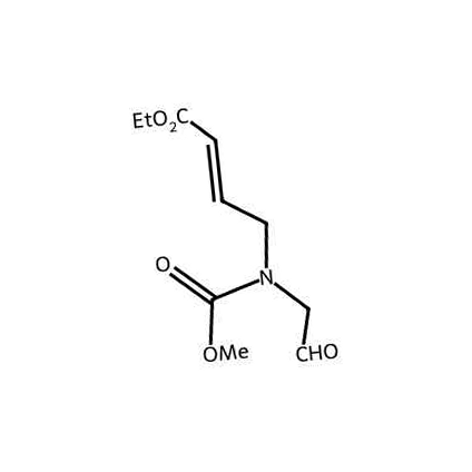 CCOC(=O)/C=C/CN(CC=O)C(=O)OC